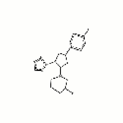 Fc1ccc(C2CC(N3CCCC(F)C3)C(n3ncnn3)C2)cc1